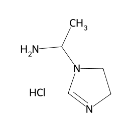 CC(N)N1C=NCC1.Cl